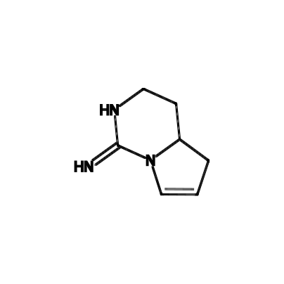 N=C1NCCC2CC=CN12